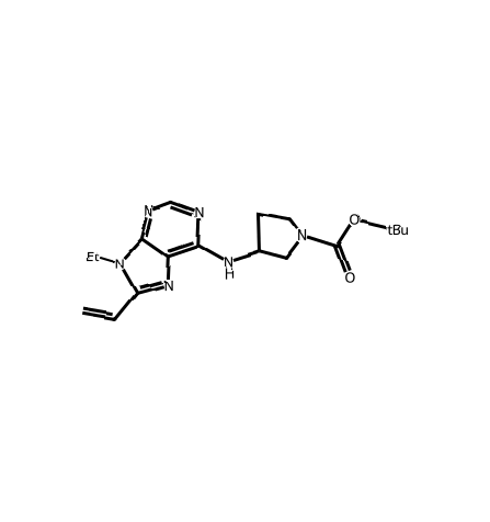 C=Cc1nc2c(NC3CCN(C(=O)OC(C)(C)C)C3)ncnc2n1CC